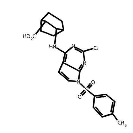 Cc1ccc(S(=O)(=O)n2ccc3c(NC4C5CCC(CC5)C4C(=O)O)nc(Cl)nc32)cc1